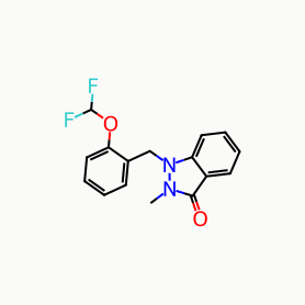 Cn1c(=O)c2ccccc2n1Cc1ccccc1OC(F)F